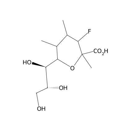 CC1C(C)C(F)C(C)(C(=O)O)OC1[C@H](O)[C@H](O)CO